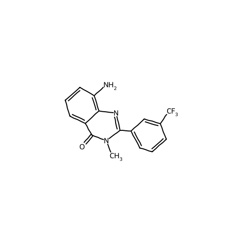 Cn1c(-c2cccc(C(F)(F)F)c2)nc2c(N)cccc2c1=O